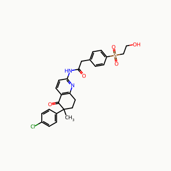 CC1(c2ccc(Cl)cc2)CCc2nc(NC(=O)Cc3ccc(S(=O)(=O)CCO)cc3)ccc2C1=O